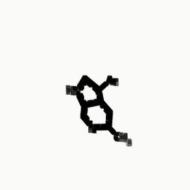 CC(=O)c1c[nH]c2cnc(C)cc12